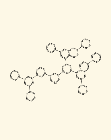 c1ccc(-c2cc(-c3ccccc3)cc(-c3cccc(-c4cncc(-c5cc(-c6cc(-c7ccccc7)cc7cc(-c8ccccc8)ccc67)cc(-c6cc(-c7ccccc7)cc7cc(-c8ccccc8)ccc67)c5)c4)c3)c2)cc1